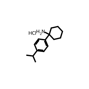 CC(C)c1ccc(C2(N)CCCCC2)cc1.Cl